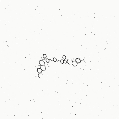 CC(C)c1ccc2c(c1)CCC1CC(C)(C(=O)OCCOCCOC(=O)C3(C)CCC4(C)c5ccc(C(C)C)cc5CCC4C3)CCC21C